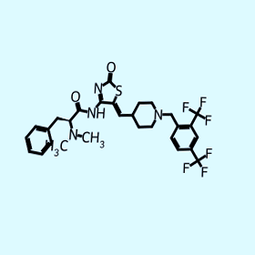 CN(C)[C@@H](Cc1ccccc1)C(=O)NC1=NC(=O)S/C1=C\C1CCN(Cc2ccc(C(F)(F)F)cc2C(F)(F)F)CC1